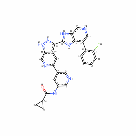 O=C(Nc1cncc(-c2cc3c(-c4nc5c(-c6ccccc6F)cncc5[nH]4)n[nH]c3cn2)c1)C1CC1